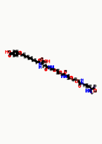 O=C(CC[C@H](NC(=O)CCCCCCCCCOc1ccc(C(=O)O)cc1)C(=O)O)NCCOCCOCC(=O)NCCOCCOCC(=O)NCCCC[C@H](NI)C(=O)I